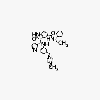 CC[C@@H](NC(=O)c1ccc2c(c1)C(=C(Nc1cccc(CN3CCN(C)CC3)c1)c1cccnc1)C(=O)N2)c1ccccc1